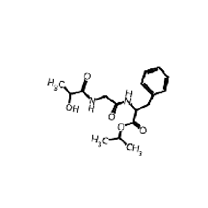 CC(C)OC(=O)C(Cc1ccccc1)NC(=O)CNC(=O)C(C)O